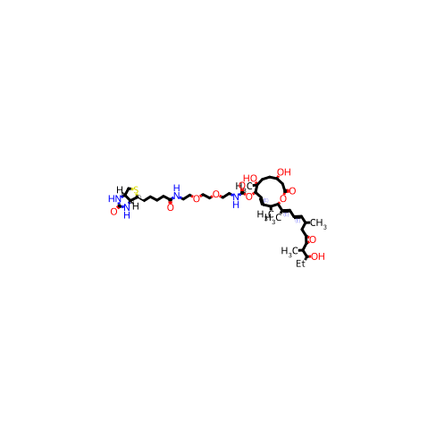 CCC(O)C(C)C1OC1CC(C)/C=C/C=C(\C)C1OC(=O)CC(O)CCC(C)(O)C(OC(=O)NCCOCCOCCNC(=O)CCCC[C@@H]2SC[C@@H]3NC(=O)N[C@@H]32)/C=C/C1C